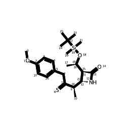 COc1ccc(CC(=S)[C@H](C)[C@H]2NC(=O)[C@@H]2[C@@H](C)O[Si](C)(C)C(C)(C)C)cc1